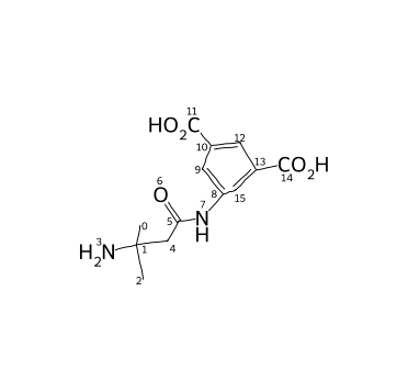 CC(C)(N)CC(=O)Nc1cc(C(=O)O)cc(C(=O)O)c1